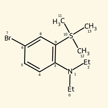 CCN(CC)c1ccc(Br)cc1S(C)(C)C